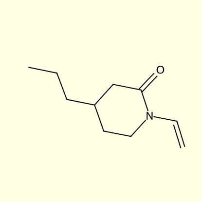 C=CN1CCC(CCC)CC1=O